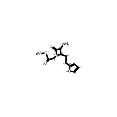 CC(C)(C)OC(=O)CN1C(=O)C(N)C1CCc1ccco1